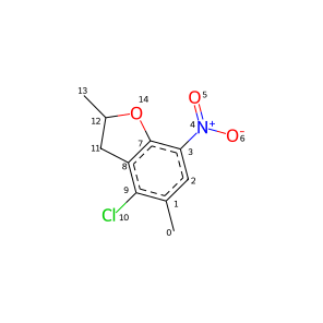 Cc1cc([N+](=O)[O-])c2c(c1Cl)CC(C)O2